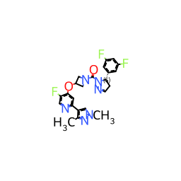 Cc1nn(C)cc1-c1cc(OC2CN(C(=O)N3N=CC[C@H]3c3cc(F)cc(F)c3)C2)c(F)cn1